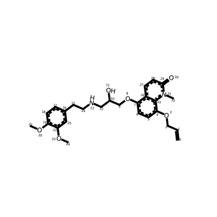 C=CCOc1ccc(OCC(O)CNCCc2ccc(OC)c(OC)c2)c2ccc(=O)n(C)c12